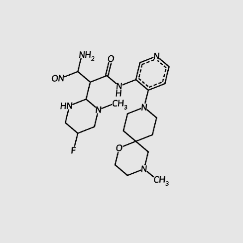 CN1CCOC2(CCN(c3ccncc3NC(=O)C(C(N)N=O)C3NCC(F)CN3C)CC2)C1